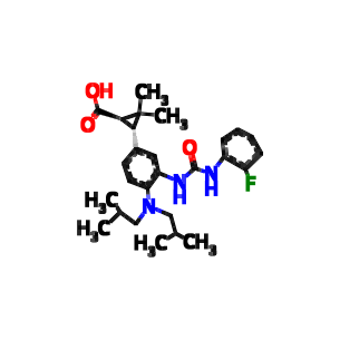 CC(C)CN(CC(C)C)c1ccc([C@@H]2[C@@H](C(=O)O)C2(C)C)cc1NC(=O)Nc1ccccc1F